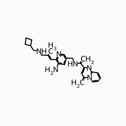 C=C(NCc1cnc(/C=C(\C)CNCC2CCC2)c(N)c1)C1=CC(=C)N2C=CC=CC2=N1